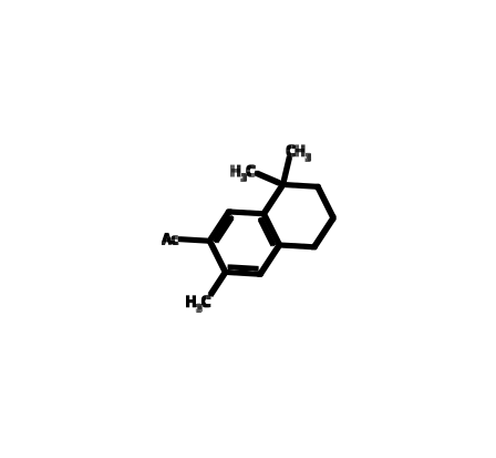 CC(=O)c1cc2c(cc1C)CCCC2(C)C